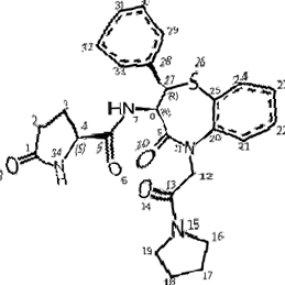 O=C1CC[C@@H](C(=O)N[C@@H]2C(=O)N(CC(=O)N3CCCC3)c3ccccc3S[C@@H]2c2ccccc2)N1